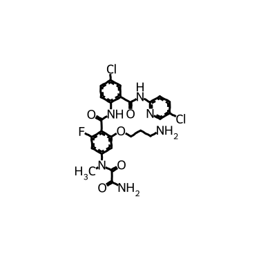 CN(C(=O)C(N)=O)c1cc(F)c(C(=O)Nc2ccc(Cl)cc2C(=O)Nc2ccc(Cl)cn2)c(OCCCN)c1